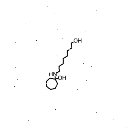 OCCCCCCCCNC1(O)CCCCCC1